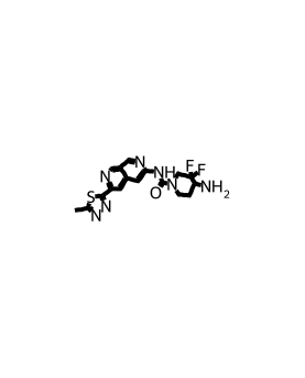 Cc1nnc(-c2cc3cc(NC(=O)N4CCC(N)C(F)(F)C4)ncc3cn2)s1